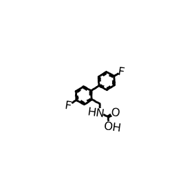 O=C(O)NCc1cc(F)ccc1-c1ccc(F)cc1